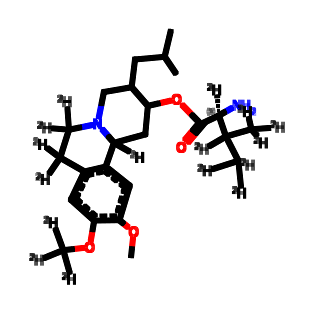 [2H]C([2H])([2H])Oc1cc2c(cc1OC)C1([2H])CC(OC(=O)[C@@]([2H])(N)C([2H])(C([2H])([2H])[2H])C([2H])([2H])[2H])C(CC(C)C)CN1C([2H])([2H])C2([2H])[2H]